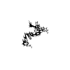 CC1CCCN(C/C=C/C(=O)Nc2ccc(-c3cccc(C(C(=O)Nc4cc(C5CC5)[nH]n4)C(C)C)c3)cn2)C1